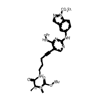 CCCNc1nc(Nc2ccc3c(cnn3C(=O)OCC)c2)ncc1C#CCCCNC(=O)[C@H](C)N(C)C(=O)OC(C)(C)C